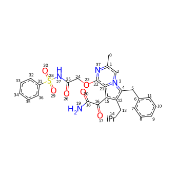 Cc1cn2c(Cc3ccccc3)c(CC(C)C)c(C(=O)C(N)=O)c2c(OCC(=O)NS(=O)(=O)c2ccccc2)n1